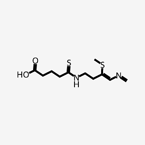 C=N/C=C(/CCNC(=S)CCCC(=O)O)SC